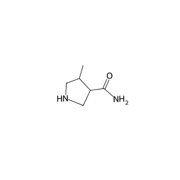 CC1CNCC1C(N)=O